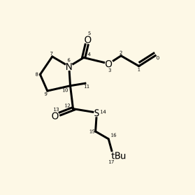 C=CCOC(=O)N1CCCC1(C)C(=O)SCCC(C)(C)C